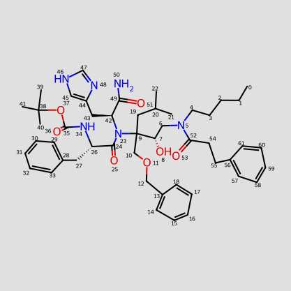 CCCCCN(C[C@H](O)C(COCc1ccccc1)(CC(C)C)N(C(=O)[C@H](Cc1ccccc1)NC(=O)OC(C)(C)C)[C@@H](Cc1c[nH]cn1)C(N)=O)C(=O)CCc1ccccc1